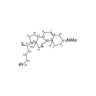 CNC1CCC2(C)C(=CCC3C2CCC2(C)C3CCC2[C@H](C)CCCC(C)C)C1